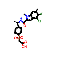 Cc1cc2c(cc(C(=O)N[C@H](C)c3ccc(S(=O)(=O)CC(=O)O)cc3)n2C)c(Cl)c1F